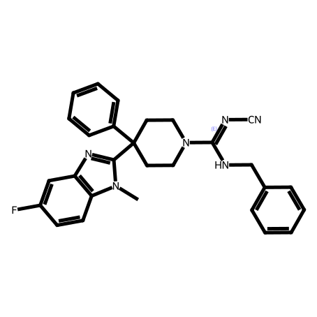 Cn1c(C2(c3ccccc3)CCN(/C(=N/C#N)NCc3ccccc3)CC2)nc2cc(F)ccc21